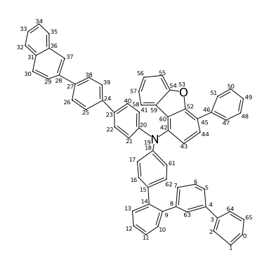 c1ccc(-c2cccc(-c3ccccc3-c3ccc(N(c4ccc(-c5ccc(-c6ccc7ccccc7c6)cc5)cc4)c4ccc(-c5ccccc5)c5oc6ccccc6c45)cc3)c2)cc1